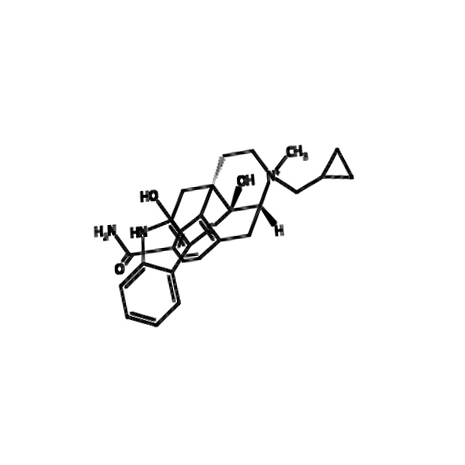 C[N+]1(CC2CC2)CC[C@]23Cc4[nH]c5ccccc5c4C[C@@]2(O)[C@H]1Cc1ccc(C(N)=O)c(O)c13